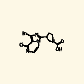 O=C(O)N1CC[C@H](c2nc(Br)c3c(Cl)nccn23)C1